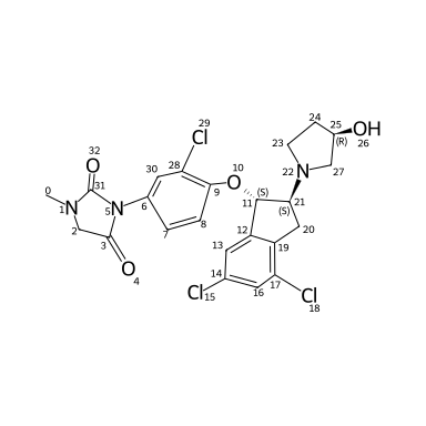 CN1CC(=O)N(c2ccc(O[C@H]3c4cc(Cl)cc(Cl)c4C[C@@H]3N3CC[C@@H](O)C3)c(Cl)c2)C1=O